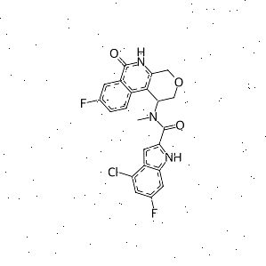 CN(C(=O)c1cc2c(Cl)cc(F)cc2[nH]1)C1COCc2[nH]c(=O)c3cc(F)ccc3c21